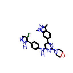 Cc1nn(C)c2cc(-c3cc(Nc4ccc(-c5[nH]ncc5F)cc4)nc(N4CCOCC4)n3)ccc12